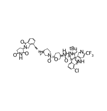 CC(C)(C)C[C@@H]1N[C@@H](C(=O)N[C@@H]2CC[C@@H](C(=O)N3CCC[C@]4(C[C@@H]4C#Cc4cccc5c4CN(C4CCC(=O)NC4=O)C5=O)C3)OC2)[C@H](c2cccc(Cl)c2F)[C@]12CNc1cc(C(F)(F)F)ncc12